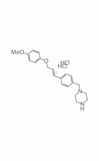 COc1ccc(OC/C=C/c2ccc(CN3CCNCC3)cc2)cc1.Cl.Cl